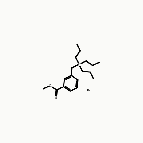 CCC[P+](CCC)(CCC)Cc1cccc(C(=O)OC)c1.[Br-]